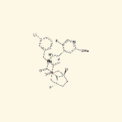 COc1cc(-c2cc(C(=O)N3[C@H]4CC[C@H]3CC(C(=O)NCc3cccc(Cl)c3)C4)n[nH]2)c(F)cn1